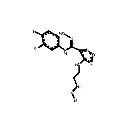 CCSNCCNc1nonc1/C(=N/O)Nc1ccc(F)c(Br)c1